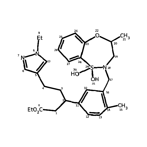 CCOC(=O)CC(CCc1cnn(CC)c1)c1ccc(C)c(CN2CC(C)Oc3ccccc3S2(O)O)c1